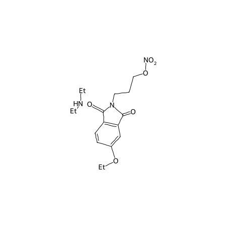 CCNCC.CCOc1ccc2c(c1)C(=O)N(CCCO[N+](=O)[O-])C2=O